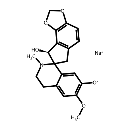 COc1cc2c(cc1[O-])C1(Cc3ccc4c(c3[C@@H]1O)OCO4)N(C)CC2.[Na+]